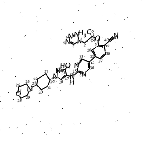 C[C@@H](Cn1cnnn1)Oc1cc(-c2cnc(Nc3cn([C@H]4CC[C@H](N5CCOCC5)CC4)nc3O)nc2)ccc1C#N